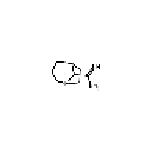 N=C(N)C1C2CCCN1CC2